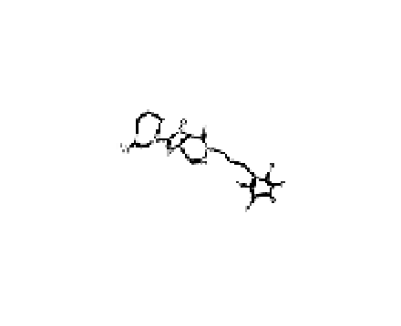 CCn1c(N2CCCC(N)C2)nc2cnn(C/C=C/c3c(F)c(F)c(F)c(F)c3F)c(=O)c21